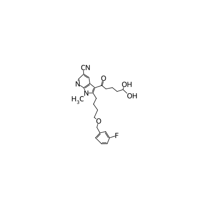 Cn1c(CCCCOCc2cccc(F)c2)c(C(=O)CCCC(O)O)c2cc(C#N)cnc21